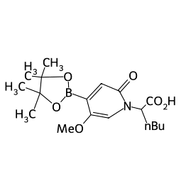 CCCCC(C(=O)O)n1cc(OC)c(B2OC(C)(C)C(C)(C)O2)cc1=O